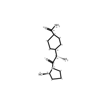 N#C[C@@H]1CCCN1C(=O)[C@@H](N)C1CCC(C(N)=O)CC1